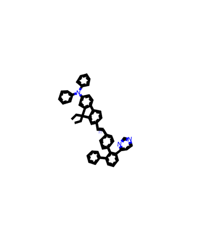 CCC1(CC)c2cc(/C=C/c3ccc(-c4c(-c5ccccc5)cccc4-c4ccncn4)cc3)ccc2-c2ccc(N(c3ccccc3)c3ccccc3)cc21